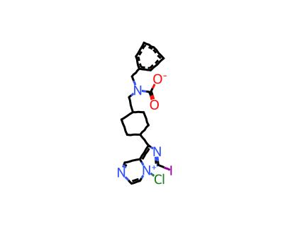 O=C([O-])N(Cc1ccccc1)CC1CCC(C2=C3C=NC=C[N+]3(Cl)C(I)=N2)CC1